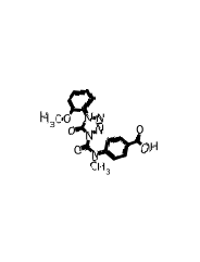 COc1ccccc1-n1nnn(C(=O)N(C)c2ccc(C(=O)O)cc2)c1=O